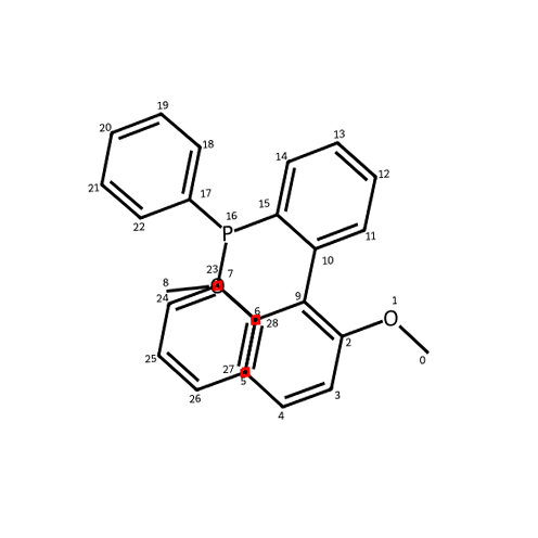 COc1cccc(OC)c1-c1ccccc1P(c1ccccc1)c1ccccc1